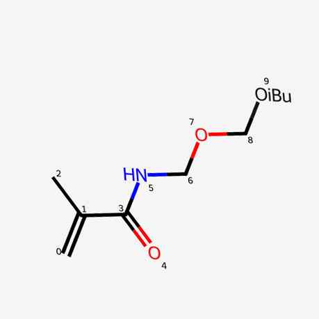 C=C(C)C(=O)NCOCOCC(C)C